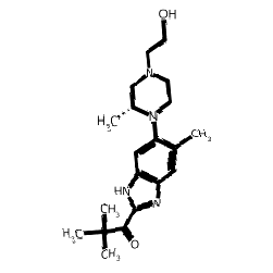 Cc1cc2nc(C(=O)C(C)(C)C)[nH]c2cc1N1CCN(CCO)C[C@H]1C